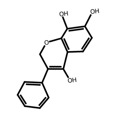 OC1=C(c2ccccc2)COc2c1ccc(O)c2O